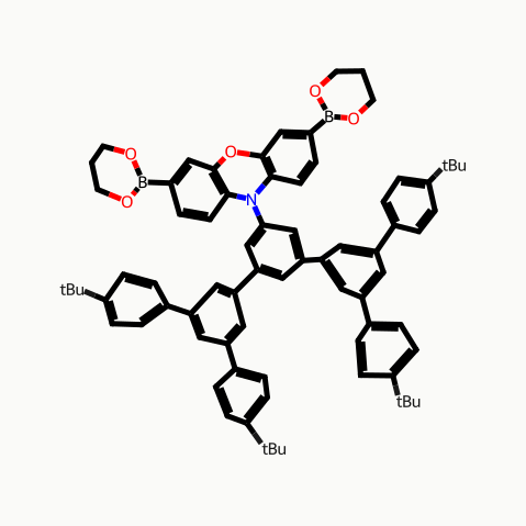 CC(C)(C)c1ccc(-c2cc(-c3ccc(C(C)(C)C)cc3)cc(-c3cc(-c4cc(-c5ccc(C(C)(C)C)cc5)cc(-c5ccc(C(C)(C)C)cc5)c4)cc(N4c5ccc(B6OCCCO6)cc5Oc5cc(B6OCCCO6)ccc54)c3)c2)cc1